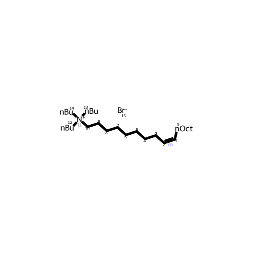 CCCCCCCC/C=C\CCCCCCCC[N+](CCCC)(CCCC)CCCC.[Br-]